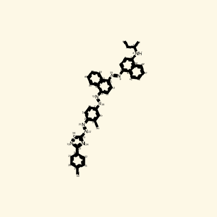 CCC(C)Nc1ccc(/N=N/c2ccc(/N=N/c3ccc(/N=N/c4nc(-c5ccc(C)cc5)ns4)c(C)c3)c3ccccc23)c2ccccc12